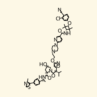 Cc1ncsc1-c1ccc([C@H](C)NC(=O)[C@@H]2C[C@@H](O)CN2C(=O)[C@@H](c2cc(OCCN3CCN(c4ccc(C(=O)N[C@H]5C(C)(C)[C@H](Oc6ccc(C#N)c(Cl)c6)C5(C)C)cn4)CC3)no2)C(C)C)cc1